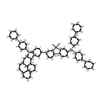 CC1(C)c2cc(-c3ccc4c(c3)c3c5ccc6cccc7ccc(cc3n4-c3ccc(-c4ccccc4)cc3)c5c76)ccc2-c2ccc(N(c3ccc(-c4ccccc4)cc3)c3ccc(-c4ccccc4)cc3)cc21